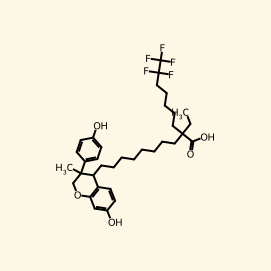 CCC(CCCCCCCCC1c2ccc(O)cc2OCC1(C)c1ccc(O)cc1)(CCCCCC(F)(F)C(F)(F)F)C(=O)O